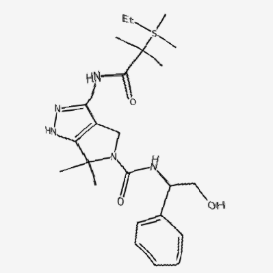 CCS(C)(C)C(C)(C)C(=O)Nc1n[nH]c2c1CN(C(=O)NC(CO)c1ccccc1)C2(C)C